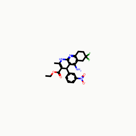 CCOC(=O)C1=C(C)Nc2nc3c(c(N)c2C1c1cccc([N+](=O)[O-])c1)CC(F)(F)CC3